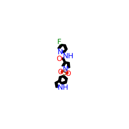 O=C(Nc1ccc(F)cn1)c1ccn(S(=O)(=O)c2ccc3[nH]ccc3c2)c1